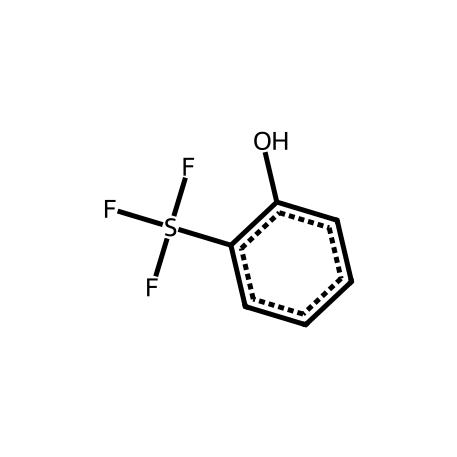 Oc1ccccc1S(F)(F)F